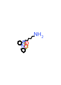 NCCCCCCN1c2ccccc2N(c2ccccc2F)S1(=O)=O